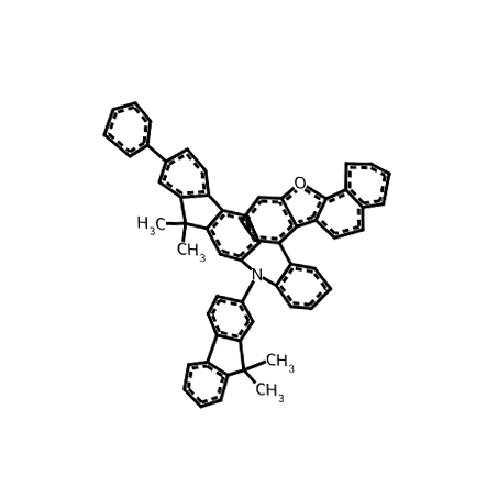 CC1(C)c2ccccc2-c2ccc(N(c3ccc4c(c3)C(C)(C)c3cc(-c5ccccc5)ccc3-4)c3ccccc3-c3cccc4oc5c6ccccc6ccc5c34)cc21